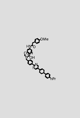 CCCc1ccc(C2CC=C(c3cnc(-c4ccc(CN(CC(=O)O)C(O)c5ccc(NC(=O)Cc6ccc(OC)cc6)cc5)cc4)nc3)CC2)cc1